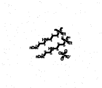 CCCCCCCCCCCCNCCC[N+](C)(C)CC.CCCCCCCCCCCCNCCC[N+](C)(C)CC.O=S(=O)([O-])[O-]